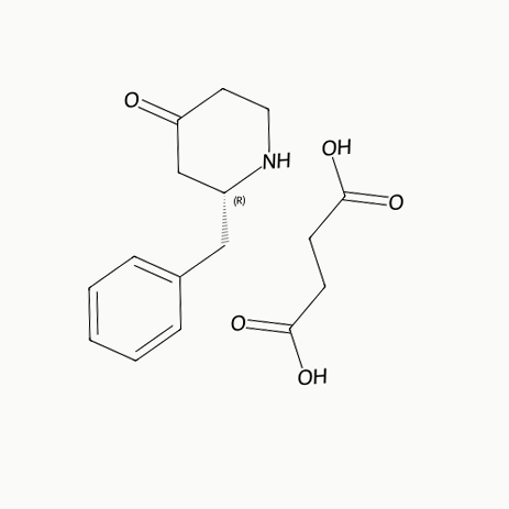 O=C(O)CCC(=O)O.O=C1CCN[C@H](Cc2ccccc2)C1